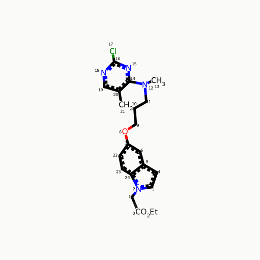 CCOC(=O)Cn1ccc2cc(OCCCN(C)c3nc(Cl)ncc3C)ccc21